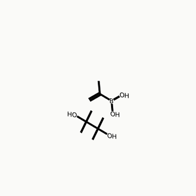 C=C(C)B(O)O.CC(C)(O)C(C)(C)O